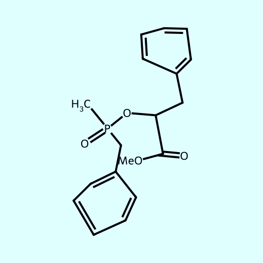 COC(=O)C(Cc1ccccc1)OP(C)(=O)Cc1ccccc1